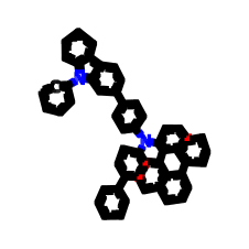 c1ccc(-c2ccc(N(c3ccc(-c4ccc5c6ccccc6n(-c6ccccc6)c5c4)cc3)c3ccccc3-c3cccc4cccc(-c5ccccc5)c34)cc2)cc1